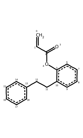 C=CC(=O)Oc1ccccc1CCc1ccccc1